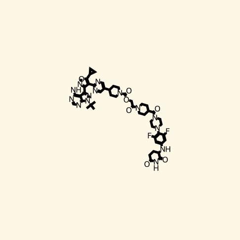 CC(C)(C)n1nc(-c2noc(C3CC3)c2-c2ncc(C3CCN(C(=O)OCC(=O)N4CCC(C(=O)N5CCN(c6c(F)cc(NC7CCC(=O)NC7=O)cc6F)CC5)CC4)CC3)cn2)c2c(N)ncnc21